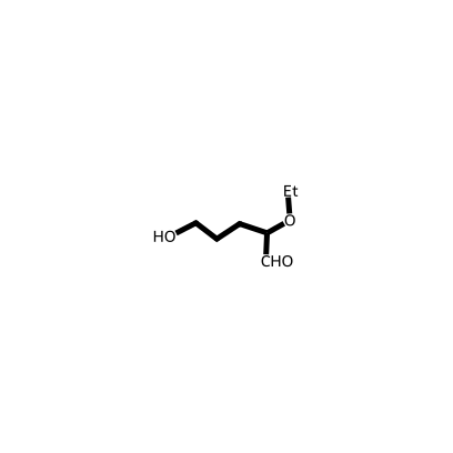 CCOC(C=O)CCCO